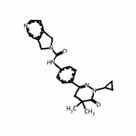 CC1(C)CC(c2ccc(NC(=O)N3Cc4ccncc4C3)cc2)=NN(C2CC2)C1=O